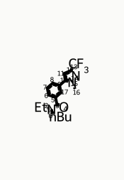 CCCCN(CC)C(=O)c1cccc(-c2cc(C(F)(F)F)nn2C)c1